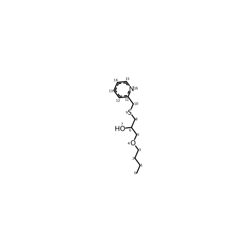 CCCCOCC(O)CSCc1ccccn1